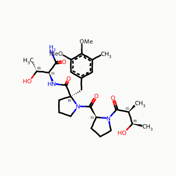 COc1cc(C[C@@]2(C(=O)N[C@H](C(N)=O)[C@@H](C)O)CCCN2C(=O)[C@@H]2CCCN2C(=O)[C@@H](C)[C@@H](C)O)cc(C)c1OC